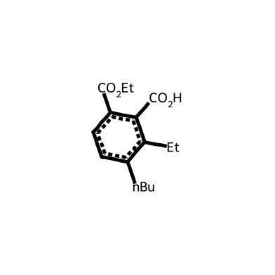 CCCCc1ccc(C(=O)OCC)c(C(=O)O)c1CC